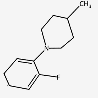 CC1CCN(C2=CC[CH]C=C2F)CC1